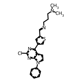 CN(C)CCCN=Cc1cc(-c2nc(Cl)nc3c2ccn3-c2ccccc2)cs1